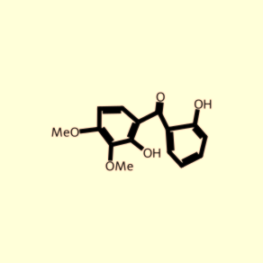 COc1ccc(C(=O)c2ccccc2O)c(O)c1OC